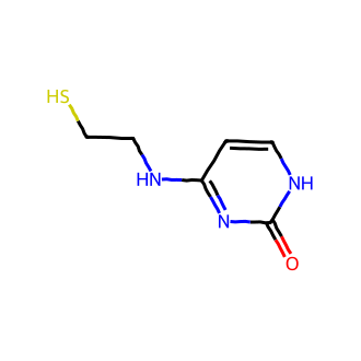 O=c1nc(NCCS)cc[nH]1